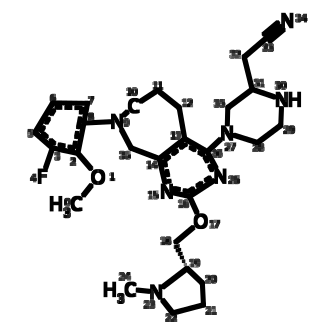 COc1c(F)cccc1N1CCCc2c(nc(OC[C@@H]3CCCN3C)nc2N2CCNC(CC#N)C2)C1